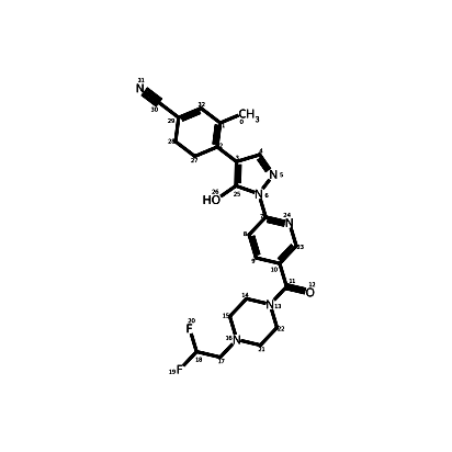 CC1=C(c2cnn(-c3ccc(C(=O)N4CCN(CC(F)F)CC4)cn3)c2O)CCC(C#N)=C1